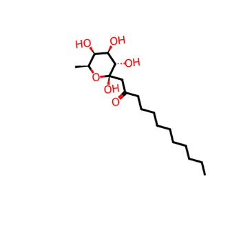 CCCCCCCCCCC(=O)C[C@]1(O)O[C@@H](C)[C@@H](O)[C@@H](O)[C@@H]1O